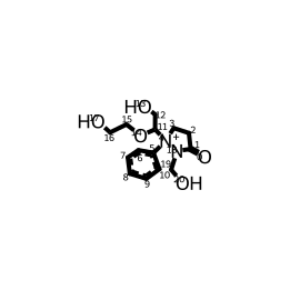 O=C1CC[N+](c2ccccc2)(C(CO)OCCO)N1CO